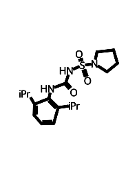 CC(C)c1cccc(C(C)C)c1NC(=O)NS(=O)(=O)N1CCCC1